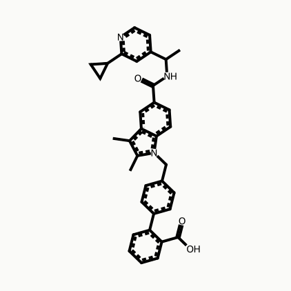 Cc1c(C)n(Cc2ccc(-c3ccccc3C(=O)O)cc2)c2ccc(C(=O)NC(C)c3ccnc(C4CC4)c3)cc12